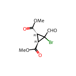 COC(=O)[C@H]1[C@H](C(=O)OC)C1(Br)C=O